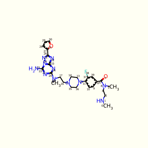 CNCCN(C)C(=O)c1ccc(N2CCN(CCN(C)c3nc(N)n4nc(-c5ccco5)nc4n3)CC2)c(F)c1